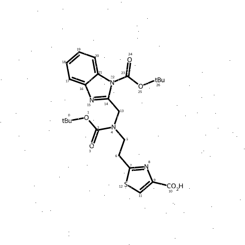 CC(C)(C)OC(=O)N(CCc1nc(C(=O)O)cs1)Cc1nc2ccccc2n1C(=O)OC(C)(C)C